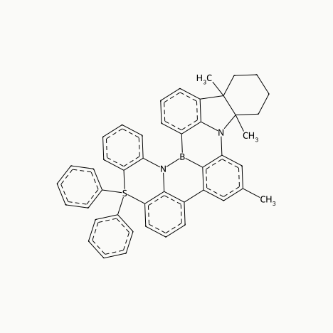 Cc1cc2c3c(c1)N1c4c(cccc4C4(C)CCCCC14C)B3N1c3ccccc3S(c3ccccc3)(c3ccccc3)c3cccc-2c31